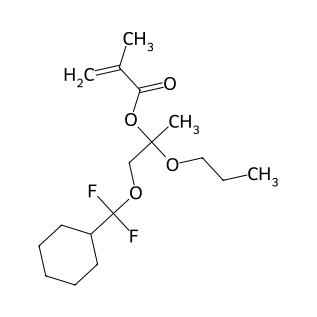 C=C(C)C(=O)OC(C)(COC(F)(F)C1CCCCC1)OCCC